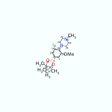 COc1cc(B2OC(C)(C)C(C)(C)O2)cc(F)c1N1CCN(C)CC1